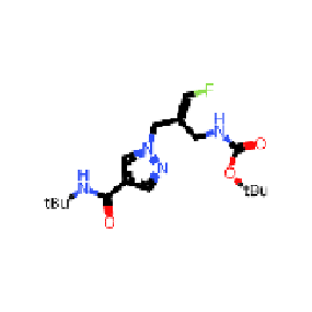 CC(C)(C)NC(=O)c1cnn(CC(=CF)CNC(=O)OC(C)(C)C)c1